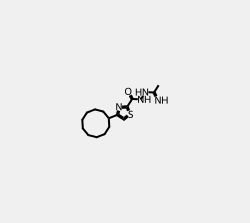 CC(=N)NNC(=O)c1nc(C2CCCCCCCCC2)cs1